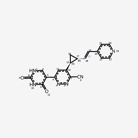 N#Cc1nnc(-c2c[nH]c(=O)[nH]c2=O)cc1[C@H]1C[C@@H]1/C=C/c1ccncc1